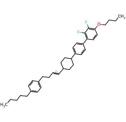 CCCCCc1ccc(CC/C=C/C2CCC(c3ccc(-c4ccc(OCCCC)c(F)c4F)cc3)CC2)cc1